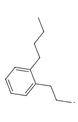 [CH2]CCc1ccccc1CCCC